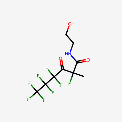 CC(F)(C(=O)NCCO)C(=O)C(F)(F)C(F)(F)C(F)(F)F